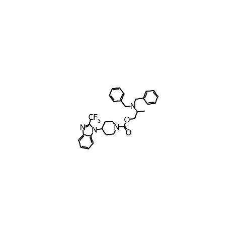 CC(COC(=O)N1CCC(n2c(C(F)(F)F)nc3ccccc32)CC1)N(Cc1ccccc1)Cc1ccccc1